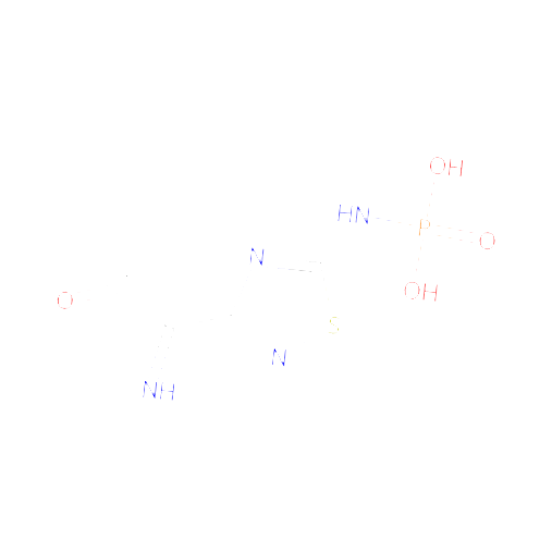 N=C([C]=O)c1nsc(NP(=O)(O)O)n1